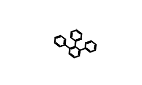 [c]1ccc(-c2c(-c3ccccc3)cccc2-c2ccccc2)cc1